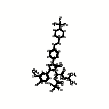 COc1cc(-c2nn(-c3ccc(CCN4CCC(C(F)(F)F)CC4)cc3)c(=O)n2C(OC(=O)C(F)(F)F)C(=O)NC(C)C)ccc1F